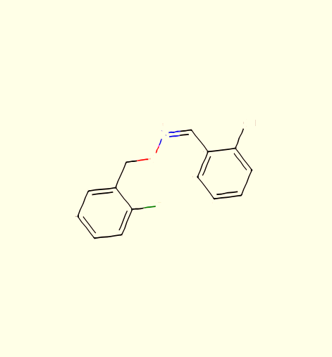 Cc1ccccc1/[C]=N\OCc1ccccc1F